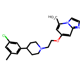 Cc1cc(Cl)cc(C2CCN(CCOc3cc(C(=O)O)n4ccnc4c3)CC2)c1